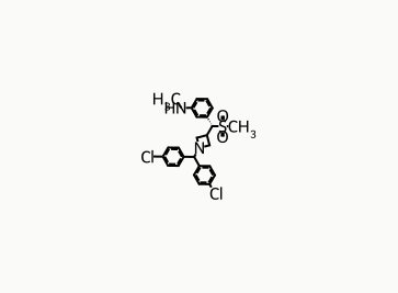 CNc1cccc([C@@H](C2CN(C(c3ccc(Cl)cc3)c3ccc(Cl)cc3)C2)S(C)(=O)=O)c1